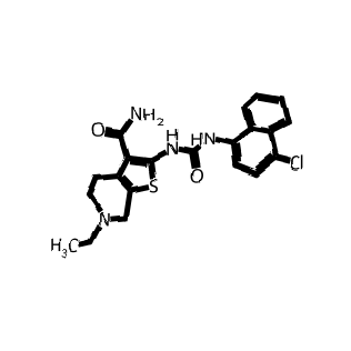 CCN1CCc2c(sc(NC(=O)Nc3ccc(Cl)c4ccccc34)c2C(N)=O)C1